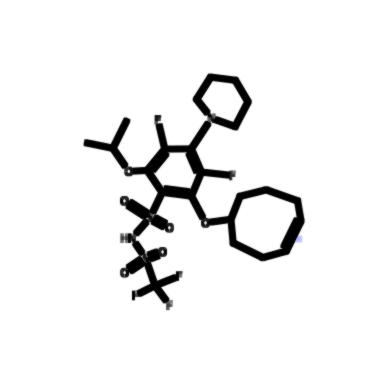 CC(C)Oc1c(F)c(N2CCCCC2)c(F)c(OC2CC/C=C\CCC2)c1S(=O)(=O)NS(=O)(=O)C(F)(F)F